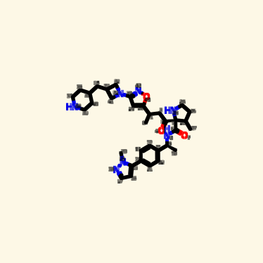 CC(CC(=O)[C@@]1(C(=O)N[C@@H](C)c2ccc(-c3ccnn3C)cc2)NCCC1C)c1cc(N2CC(CC3CCNCC3)C2)no1